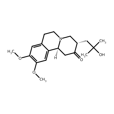 COc1cc2c(cc1OC)[C@@H]1CC(=O)[C@@H](CC(C)(C)O)CN1CC2